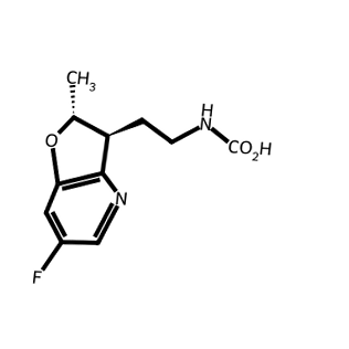 C[C@H]1Oc2cc(F)cnc2[C@@H]1CCNC(=O)O